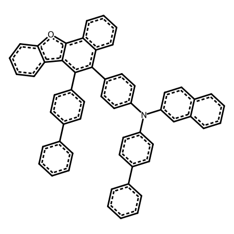 c1ccc(-c2ccc(-c3c(-c4ccc(N(c5ccc(-c6ccccc6)cc5)c5ccc6ccccc6c5)cc4)c4ccccc4c4oc5ccccc5c34)cc2)cc1